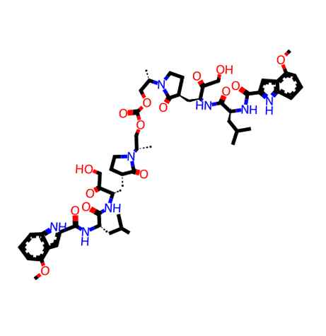 COc1cccc2[nH]c(C(=O)N[C@@H](CC(C)C)C(=O)N[C@@H](C[C@@H]3CCN([C@@H](C)COC(=O)OC[C@H](C)N4CC[C@@H](C[C@H](NC(=O)[C@H](CC(C)C)NC(=O)c5cc6c(OC)cccc6[nH]5)C(=O)CO)C4=O)C3=O)C(=O)CO)cc12